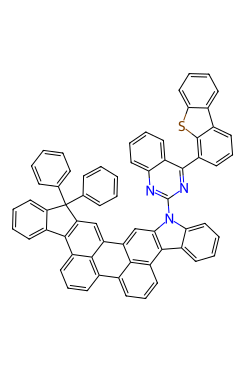 c1ccc(C2(c3ccccc3)c3ccccc3-c3c2cc2c4cc5c(c6cccc(c7cccc3c72)c46)c2ccccc2n5-c2nc(-c3cccc4c3sc3ccccc34)c3ccccc3n2)cc1